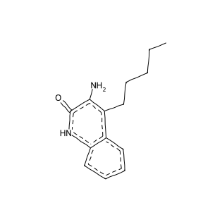 CCCCCc1c(N)c(=O)[nH]c2ccccc12